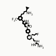 N=C(CN)NCC[C@@H]1CCC[C@@H](c2ccc(-n3cc4cc(-c5cc(CCCC(N)C6CC6)cc(C(F)(F)F)c5)[nH]c4nc3=O)cc2)N1CCCF